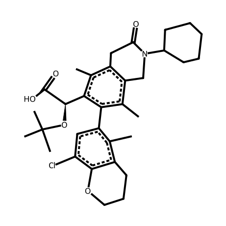 Cc1c(-c2c(C)c3c(c(C)c2[C@@H](OC(C)(C)C)C(=O)O)CC(=O)N(C2CCCCC2)C3)cc(Cl)c2c1CCCO2